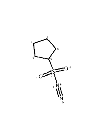 N#[N+]S(=O)(=O)C1CCCC1